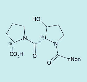 CCCCCCCCCC(=O)N1CCC(O)[C@H]1C(=O)N1CCC[C@H]1C(=O)O